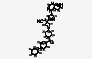 N#CCC1(n2cc(-c3ncnc4[nH]ccc34)cn2)CN(C2CCN(C(=O)c3ccc(-c4ccccc4)cc3)CC2)C1